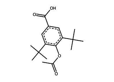 CC(=O)Oc1c(C(C)(C)C)cc(C(=O)O)cc1C(C)(C)C